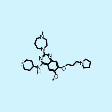 COc1cc2c(NC3CCSCC3)nc(N3CCCN(C)CC3)nc2cc1OCCCN1CCCC1